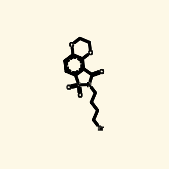 O=C1c2c(ccc3c2OCCO3)S(=O)(=O)N1CCCCBr